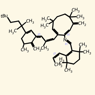 C=C1/C(=C\C(C)=CC2=CC(C)(C)CCC(C)(C)C(=C)/C=C2/N=C/C2=C(/C=C\C)C(C)(C)CCC2(C)C)C=C(C(C)(C)CCC(C)(C)C)CC1C